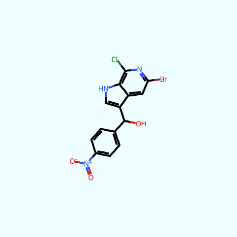 O=[N+]([O-])c1ccc(C(O)c2c[nH]c3c(Cl)nc(Br)cc23)cc1